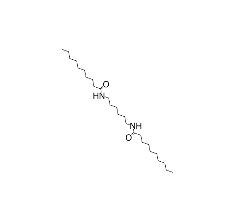 CCCCCCCCCC(=O)NCCCCCCNC(=O)CCCCCCCCC